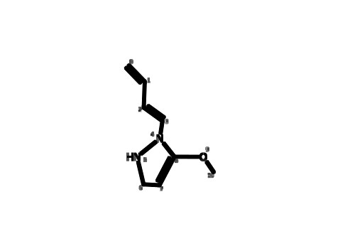 C=C/C=C/N1NCC=C1OC